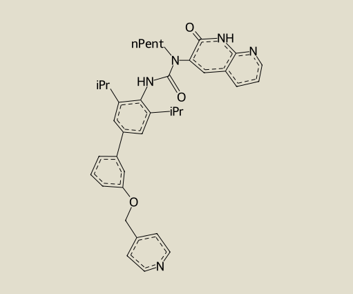 CCCCCN(C(=O)Nc1c(C(C)C)cc(-c2cccc(OCc3ccncc3)c2)cc1C(C)C)c1cc2cccnc2[nH]c1=O